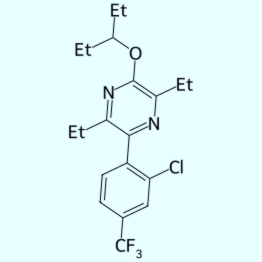 CCc1nc(-c2ccc(C(F)(F)F)cc2Cl)c(CC)nc1OC(CC)CC